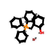 Oc1ccccc1C[P+](c1ccccc1)(c1ccccc1)c1ccccc1.[Br-]